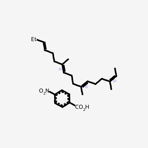 C/C=C(/C)CC/C=C(\C)CC/C=C(\C)CCC=CCC.O=C(O)c1ccc([N+](=O)[O-])cc1